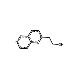 OCCc1ccc2cnccc2n1